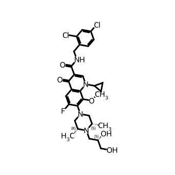 COc1c(N2C[C@@H](C)N(C[C@H](O)CO)[C@@H](C)C2)c(F)cc2c(=O)c(C(=O)NCc3ccc(Cl)cc3Cl)cn(C3CC3)c12